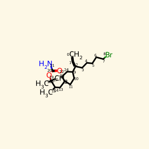 C=C=C(CCCCCBr)C1CCC(CC(C)C(C)(C)OC(N)=O)CC1